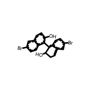 Oc1ccc2cc(Br)ccc2c1C1=c2ccc(Br)cc2=CCC1O